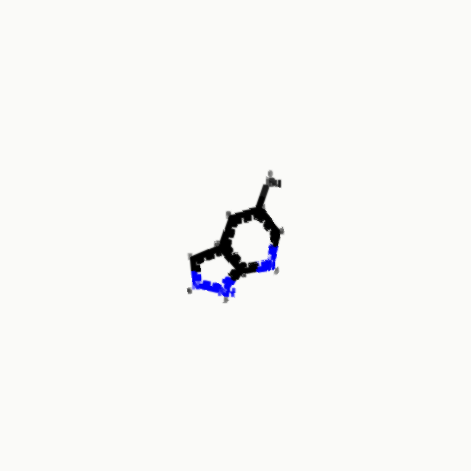 CCC(C)c1cnc2[nH]ncc2c1